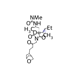 CC/C=C(\C)[C@]1(CC(C)NC(=O)NC)OC(=O)N(CC(=O)CCC2CC3CC2CO3)C1=O